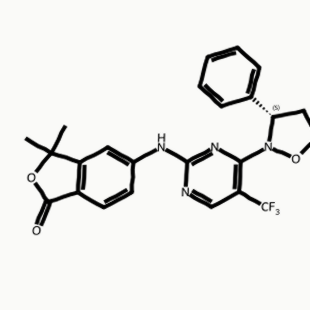 CC1(C)OC(=O)c2ccc(Nc3ncc(C(F)(F)F)c(N4OCC[C@H]4c4ccccc4)n3)cc21